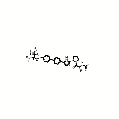 CCC(=O)N[C@H](C(=O)N1CCC[C@H]1c1ncc(-c2ccc(-c3ccc(B4OC(C)(C)C(C)(C)O4)cc3)cc2)[nH]1)C(C)C